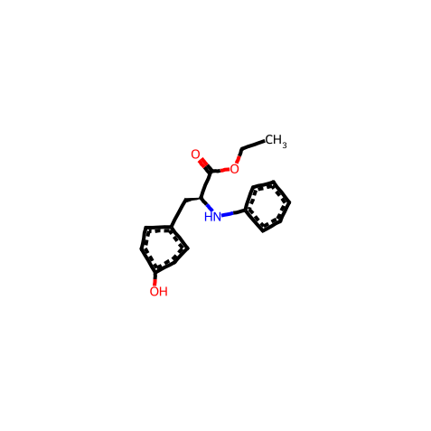 CCOC(=O)[C@H](Cc1ccc(O)cc1)Nc1ccccc1